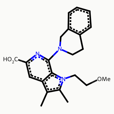 COCCn1c(C)c(C)c2cc(C(=O)O)nc(N3CCc4ccccc4C3)c21